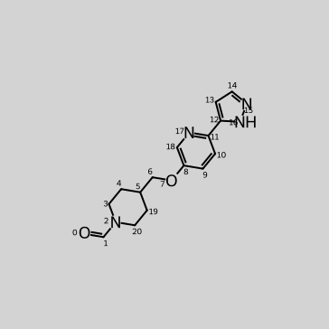 O=CN1CCC(COc2ccc(-c3ccn[nH]3)nc2)CC1